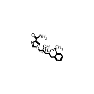 CN(C)c1ccccc1CCC[C@H](O)Cn1cnc(C(N)=O)c1